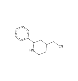 N#CCC1CCNC(c2ccccc2)C1